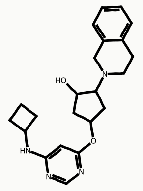 OC1CC(Oc2cc(NC3CCC3)ncn2)CC1N1CCc2ccccc2C1